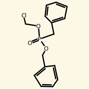 O=P(Cc1ccccc1)(OCCl)OCc1ccccc1